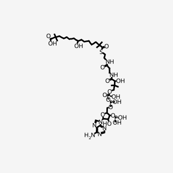 CC(C)(CCCCCC(O)CCCCCC(C)(C)C(=O)SCCNC(=O)CCNC(=O)C(O)C(C)(C)COP(=O)(O)OP(O)OCC1OC(n2cnc3c(N)ncnc32)C(O)C1OP(O)O)C(=O)O